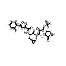 O=C(N[C@@H](CC1CC1)C(=O)N[C@@H](C[C@@H]1CCNC1=O)C(=O)COC(F)(F)F)c1cc(-c2ccccc2F)on1